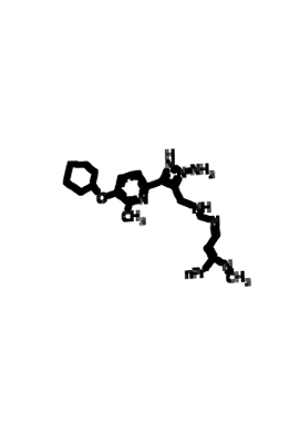 C=N/C(=C\C=N/CNCc1c(-c2ccc(OC3CCCCC3)c(C)n2)[nH]n1N)CCC